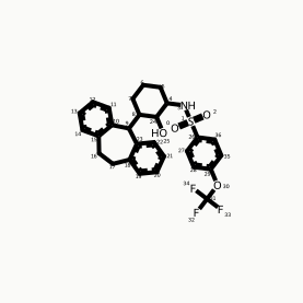 O=S(=O)(NC1CCCC(C2c3ccccc3CCc3ccccc32)C1O)c1ccc(OC(F)(F)F)cc1